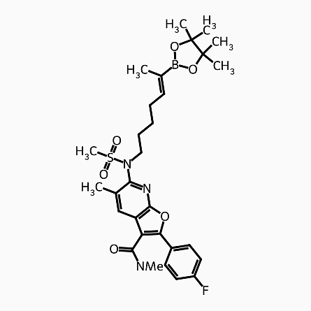 CNC(=O)c1c(-c2ccc(F)cc2)oc2nc(N(CCCC/C=C(\C)B3OC(C)(C)C(C)(C)O3)S(C)(=O)=O)c(C)cc12